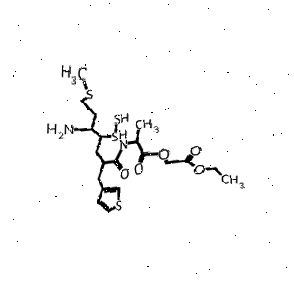 CCOC(=O)COC(=O)C(C)NC(=O)C(Cc1ccsc1)CC(SS)C(N)CCSC